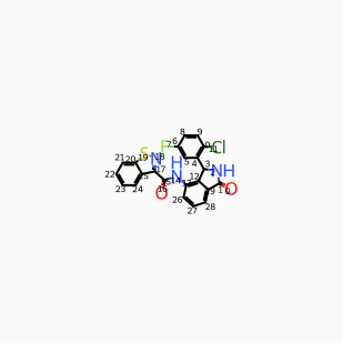 O=C1NC(c2cc(F)ccc2Cl)c2c(NC(=O)c3nsc4ccccc34)cccc21